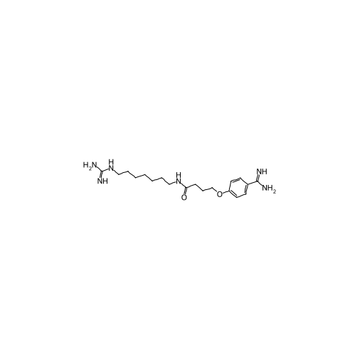 N=C(N)NCCCCCCCNC(=O)CCCOc1ccc(C(=N)N)cc1